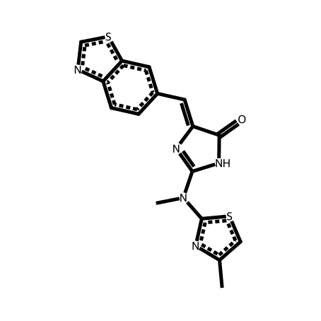 Cc1csc(N(C)C2=N/C(=C\c3ccc4ncsc4c3)C(=O)N2)n1